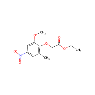 CCOC(=O)COc1c(C)cc([N+](=O)[O-])cc1OC